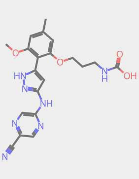 COc1cc(C)cc(OCCCNC(=O)O)c1-c1cc(Nc2cnc(C#N)cn2)n[nH]1